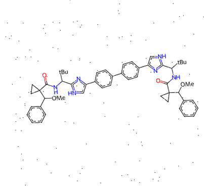 COC(c1ccccc1)C1(C(=O)NC(c2nc(-c3ccc(-c4ccc(-c5c[nH]c(C(NC(=O)C6(C(OC)c7ccccc7)CC6)C(C)(C)C)n5)cc4)cc3)c[nH]2)C(C)(C)C)CC1